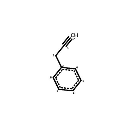 C#CCc1[c]cccc1